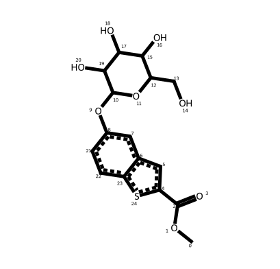 COC(=O)c1cc2cc(OC3OC(CO)C(O)C(O)C3O)ccc2s1